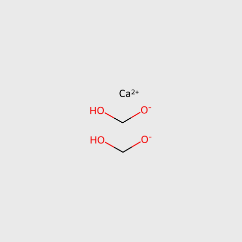 [Ca+2].[O-]CO.[O-]CO